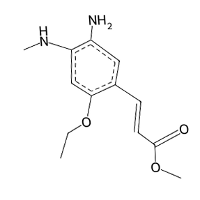 CCOc1cc(NC)c(N)cc1C=CC(=O)OC